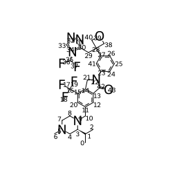 CC(C)[C@H]1CN(C)CCN1Cc1cc2c(c(C(F)(F)F)c1)CN(c1cccc(C3(Cc4nncn4C(F)F)COC3)c1)C2=O